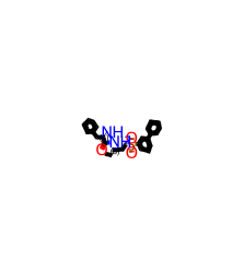 CC[C@@H](CCS(=O)(=O)c1cccc(-c2ccccc2)c1)NC(=O)[C@@H](N)Cc1ccccc1